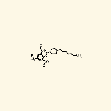 CCCCCCCN1CCN(C2=NC(C=O)c3cc(C(F)(F)F)cc([N+](=O)[O-])c3S2)CC1